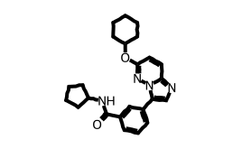 O=C(NC1CCCC1)c1cccc(-c2cnc3ccc(OC4CCCCC4)nn23)c1